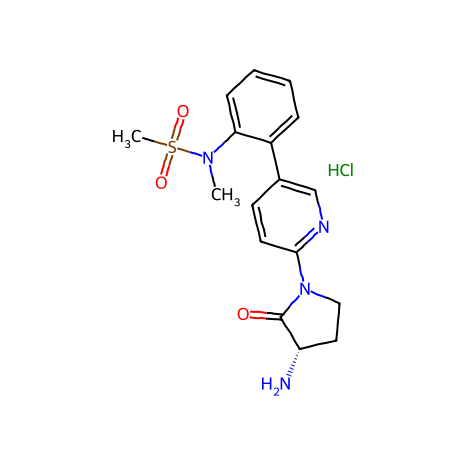 CN(c1ccccc1-c1ccc(N2CC[C@H](N)C2=O)nc1)S(C)(=O)=O.Cl